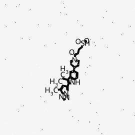 Cc1cc(-c2[nH]c3ccc(C4CCN(C(=O)CCC[SH](=O)=O)CC4)cc3c2C(C)C)cn2ncnc12